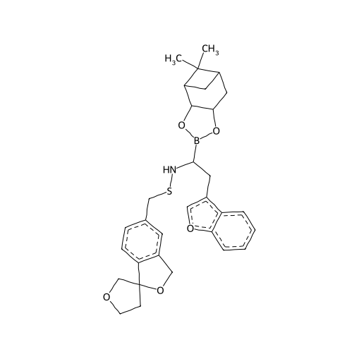 CC1(C)C2CC3OB(C(Cc4coc5ccccc45)NSCc4ccc5c(c4)COC54CCOC4)OC3C1C2